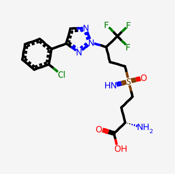 N=S(=O)(CCC(n1ncc(-c2ccccc2Cl)n1)C(F)(F)F)CC[C@H](N)C(=O)O